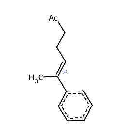 CC(=O)CC/C=C(\C)c1ccccc1